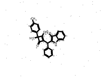 Cc1ccc(C2(C)C(=O)C(C(c3ccccc3)c3[nH]c4ccccc4c3C)=C2O)cc1